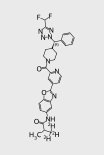 [2H]C([2H])([2H])C(C)C(=O)Nc1ccc2oc(-c3ccnc(C(=O)N4CCC([C@H](c5ccccc5)n5nnc(C(F)F)n5)CC4)c3)nc2c1